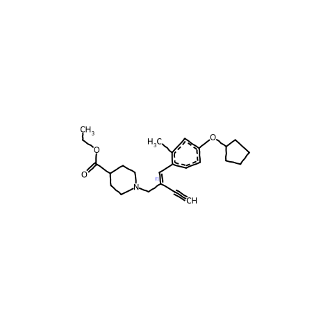 C#C/C(=C\c1ccc(OC2CCCC2)cc1C)CN1CCC(C(=O)OCC)CC1